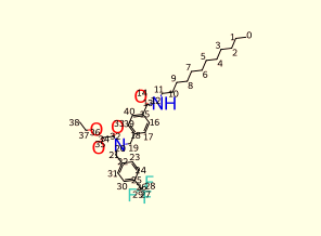 CCCCCCCCCCCCNC(=O)c1ccc(CN(Cc2ccc(C(F)(F)F)cc2)C(=O)C(=O)OCC)cc1